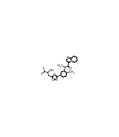 Cc1ccc(-c2noc(CC(O)C(F)F)n2)cc1N(C)C(=O)c1cnc2ccccn12